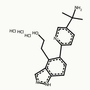 CC(C)(N)c1ccc(-c2ccc3[nH]ncc3c2CCO)nc1.Cl.Cl.Cl